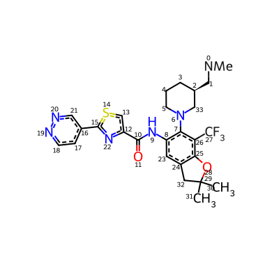 CNC[C@@H]1CCCN(c2c(NC(=O)c3csc(-c4ccnnc4)n3)cc3c(c2C(F)(F)F)OC(C)(C)C3)C1